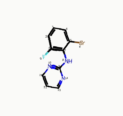 Fc1cccc(Br)c1Nc1ncccn1